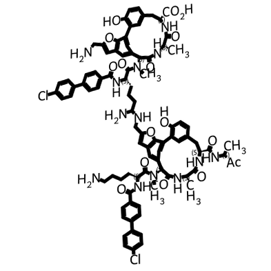 CC(=O)[C@H](C)NC(=O)[C@@H]1Cc2ccc(O)c(c2)-c2cc(cc3cc(CNC(N)CCC[C@H](NC(=O)c4ccc(-c5ccc(Cl)cc5)cc4)C(=O)N(C)[C@@H]4C(=O)N[C@@H](C)C(=O)N[C@H](C(=O)O)Cc5ccc(O)c(c5)-c5cc4cc4cc(CN)oc54)oc23)[C@H](N(C)C(=O)[C@H](CCCCN)NC(=O)c2ccc(-c3ccc(Cl)cc3)cc2)C(=O)N[C@@H](C)C(=O)N1